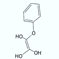 OC(O)=C(O)Oc1ccccc1